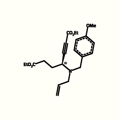 C=CCN(Cc1ccc(OC)cc1)[C@H](C#CC(=O)OCC)CCC(=O)OCC